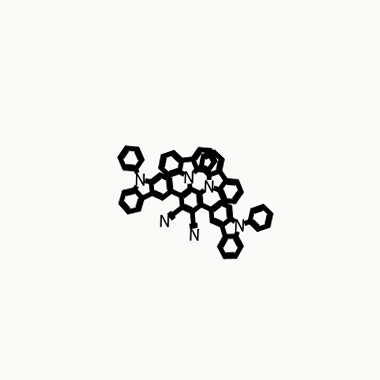 N#Cc1c(C#N)c(-c2ccc3c(c2)c2ccccc2n3-c2ccccc2)c(-n2c3ccccc3c3ccccc32)c(-n2c3ccccc3c3ccccc32)c1-c1ccc2c(c1)c1ccccc1n2-c1ccccc1